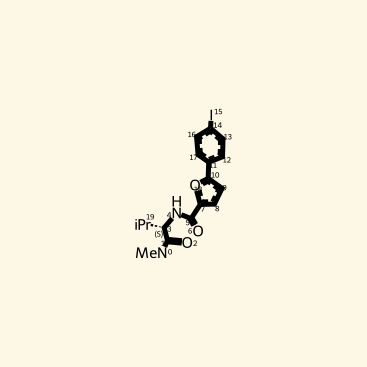 CNC(=O)[C@@H](NC(=O)c1ccc(-c2ccc(I)cc2)o1)C(C)C